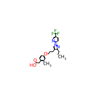 CCCc1nn(-c2ccc(C(F)(F)F)cn2)cc1CCCOc1ccc(CC(=O)O)c(C)c1